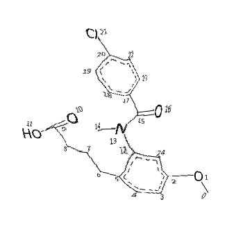 COc1ccc(CCCC(=O)O)c(N(C)C(=O)c2ccc(Cl)cc2)c1